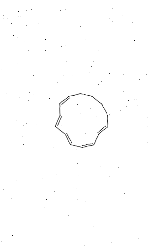 [CH]1/C=C/C=C\C=C\C=C\C=C/CCC1